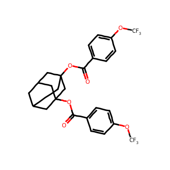 O=C(OC12CC3CC(C1)CC(OC(=O)c1ccc(OC(F)(F)F)cc1)(C3)C2)c1ccc(OC(F)(F)F)cc1